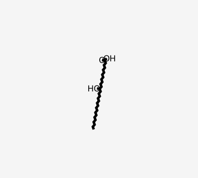 CCCCCCCCCCCCCCCCCC(O)CCCCCCCCCCCC(=O)O